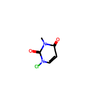 Cn1c(=O)ccn(Cl)c1=O